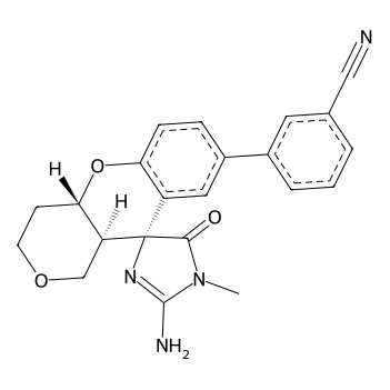 CN1C(=O)[C@]2(N=C1N)c1cc(-c3cccc(C#N)c3)ccc1O[C@H]1CCOC[C@@H]12